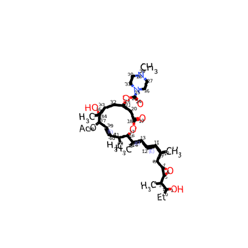 CCC(O)C(C)C1OC1CC(C)/C=C/C=C(\C)C1OC(=O)CC(OC(=O)N2CCN(C)CC2)CCC(C)(O)C(OC(C)=O)/C=C/C1C